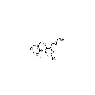 CCc1nc(COSC)c2c(n1)N1[C@@H](COC[C@H]1C)CO2